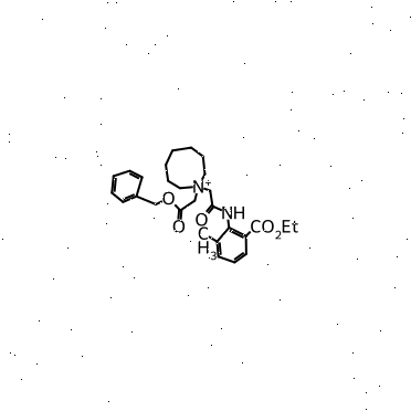 CCOC(=O)c1cccc(C)c1NC(=O)C[N+]1(CC(=O)OCc2ccccc2)CCCCCCC1